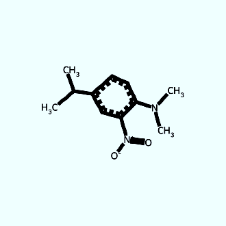 CC(C)c1ccc(N(C)C)c([N+](=O)[O-])c1